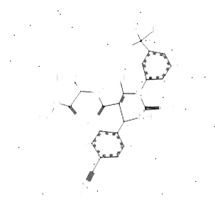 COC(=O)[C@@H](C)OC(=O)C1=C(C)N(c2cccc(C(F)(F)F)c2)C(=O)NC1c1ccc(C#N)cc1